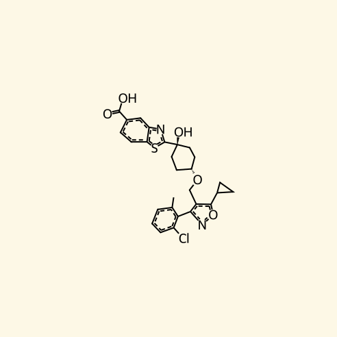 Cc1cccc(Cl)c1-c1noc(C2CC2)c1CO[C@H]1CC[C@@](O)(c2nc3cc(C(=O)O)ccc3s2)CC1